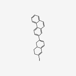 IC1=CC2=CC=C(c3ccc4c(ccc5ccccc54)c3)CC2CC1